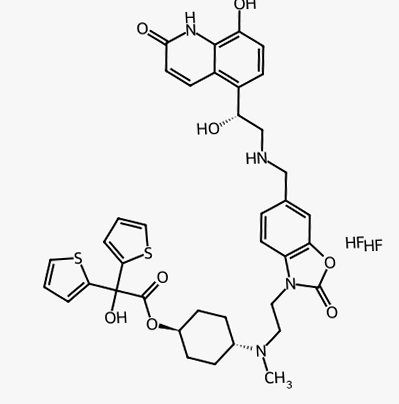 CN(CCn1c(=O)oc2cc(CNC[C@H](O)c3ccc(O)c4[nH]c(=O)ccc34)ccc21)[C@H]1CC[C@H](OC(=O)C(O)(c2cccs2)c2cccs2)CC1.F.F